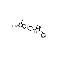 CCC(c1nnnn1CCc1ccns1)N1CCN(c2nc3cc(N)cc(F)c3s2)CC1